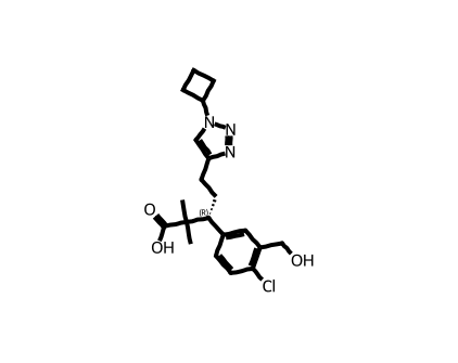 CC(C)(C(=O)O)[C@H](CCc1cn(C2CCC2)nn1)c1ccc(Cl)c(CO)c1